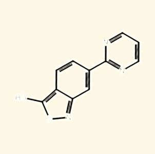 Oc1snc2cc(-c3ncccn3)ccc12